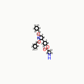 O=C(Oc1ccc(-c2ccc(OCc3ccccc3)nc2OCc2ccccc2)cc1)[C@@H]1CCNC1